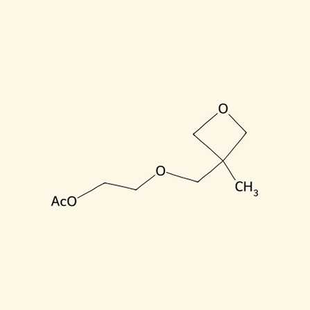 CC(=O)OCCOCC1(C)COC1